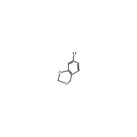 CCc1ccc2c(c1)OCOC2